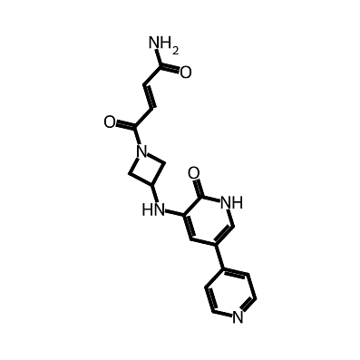 NC(=O)C=CC(=O)N1CC(Nc2cc(-c3ccncc3)c[nH]c2=O)C1